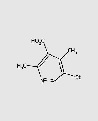 CCc1cnc(C)c(C(=O)O)c1C